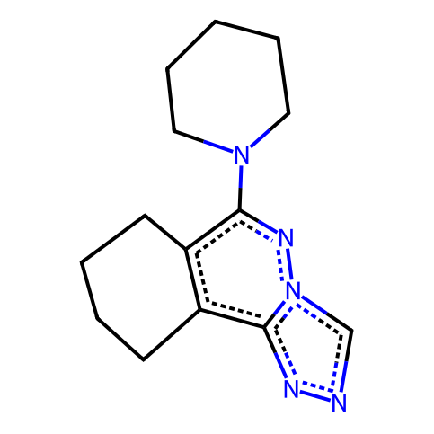 c1nnc2c3c(c(N4CCCCC4)nn12)CCCC3